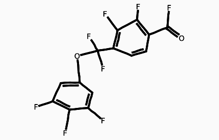 O=C(F)c1ccc(C(F)(F)Oc2cc(F)c(F)c(F)c2)c(F)c1F